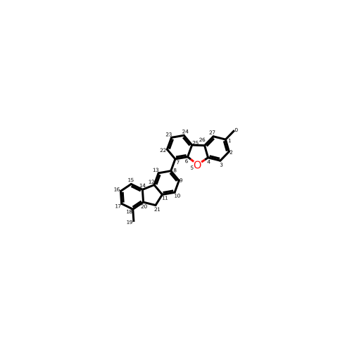 Cc1ccc2oc3c(-c4ccc5c(c4)-c4cccc(C)c4C5)cccc3c2c1